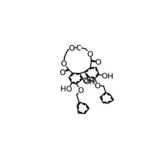 O=C1OCCOCCOC(=O)c2cc(O)c(OCc3ccccc3)c(O)c2-c2c1cc(O)c(OCc1ccccc1)c2O